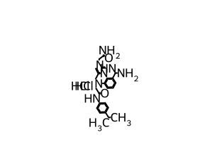 CC(C)c1ccc(NC(=O)CN(Cc2cn(CC(N)=O)cn2)c2cccc(C(=N)N)c2)cc1.Cl.Cl